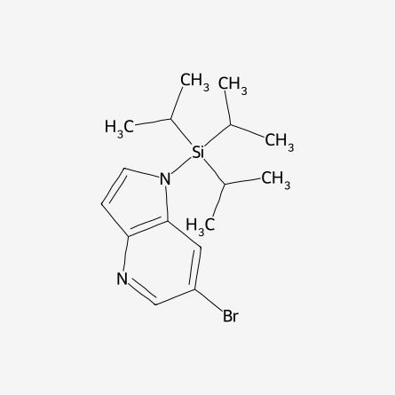 CC(C)[Si](C(C)C)(C(C)C)n1ccc2ncc(Br)cc21